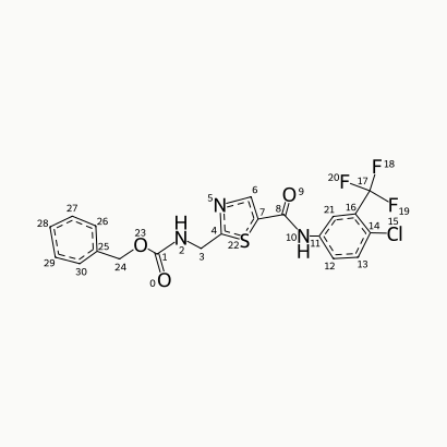 O=C(NCc1ncc(C(=O)Nc2ccc(Cl)c(C(F)(F)F)c2)s1)OCc1ccccc1